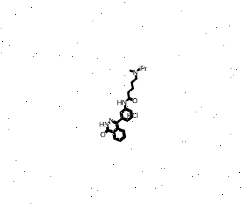 CC(C)N(C)CCCCC(=O)Nc1cccc(-c2n[nH]c(=O)c3ccccc23)c1.Cl